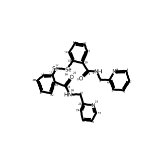 O=C(NCc1ccccn1)c1ccccc1[Se][Se]c1ccccc1C(=O)NCc1ccccn1